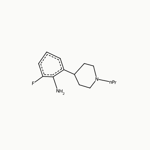 CCCN1CCC(c2cccc(F)c2N)CC1